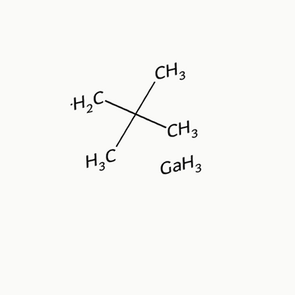 [CH2]C(C)(C)C.[GaH3]